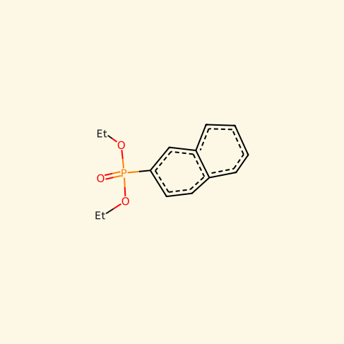 CCOP(=O)(OCC)c1ccc2ccccc2c1